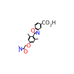 Cc1cc(OCC(=O)N(C)C)cc(C)c1-c1nc2cc(C(=O)O)ccc2o1